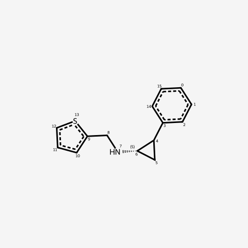 c1ccc(C2C[C@@H]2NCc2cccs2)cc1